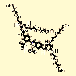 CCCOCCOCCCNc1nc(NCCCOCCOCCC)nc(Nc2ccc(/C=C/c3ccc(Nc4nc(NCCCOCCOCCC)nc(NCCCOCCOCCC)n4)cc3OS(=O)O)c(OS(=O)O)c2)n1